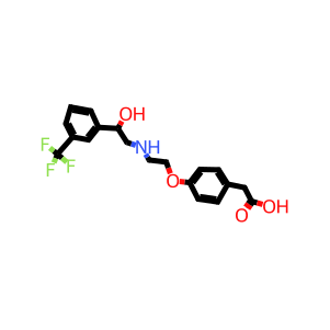 O=C(O)Cc1ccc(OCCNCC(O)c2cccc(C(F)(F)F)c2)cc1